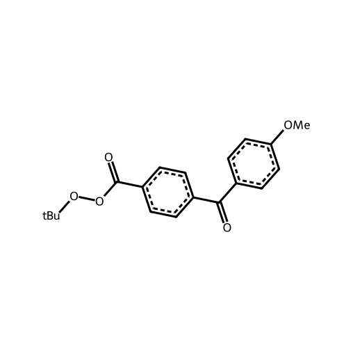 COc1ccc(C(=O)c2ccc(C(=O)OOC(C)(C)C)cc2)cc1